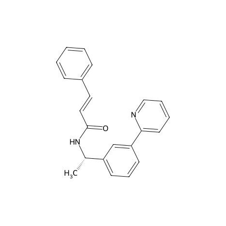 C[C@H](NC(=O)C=Cc1ccccc1)c1cccc(-c2ccccn2)c1